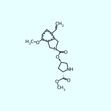 C=Cc1ccc(OC)c2c1CN(C(=O)O[C@H]1CN[C@H](C(=O)OC)C1)C2